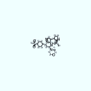 C[C@@H]1COCCN1c1cc(-c2ccc(S(C)(=O)=O)cc2)n2ncc(-c3ccnn3PI)c2n1